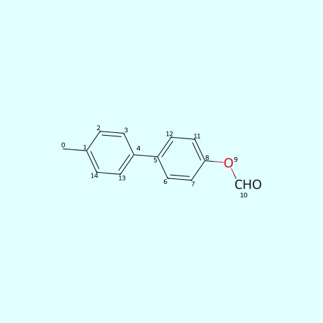 Cc1ccc(-c2ccc(OC=O)cc2)cc1